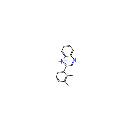 Cc1cccc(-c2cnc3ccccc3[n+]2C)c1C